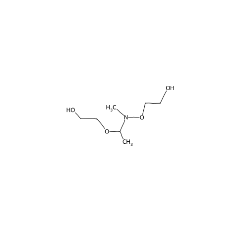 CC(OCCO)N(C)OCCO